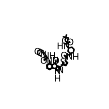 CC(C)(C)OC(=O)NC1CCCC(NC(=O)c2ccc(-c3n[nH]c4c3C(=O)c3c(NC(=O)NN5CCOCC5)cccc3-4)s2)C1